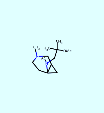 COC(C)(C)CN(C(C)=O)C12CCN(C)CC1C2